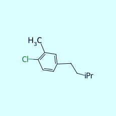 Cc1cc(CCC(C)C)ccc1Cl